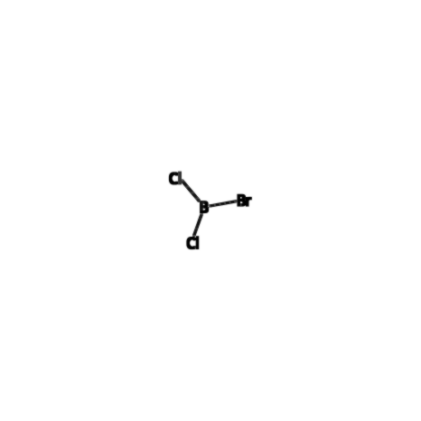 ClB(Cl)Br